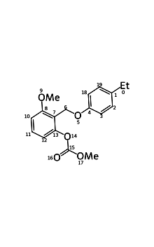 CCc1ccc(OCc2c(OC)cccc2OC(=O)OC)cc1